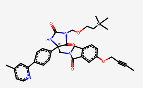 CC#CCOc1ccc2c(c1)C(=O)N(C[C@@]1(c3ccc(-c4cc(C)ccn4)cc3)NC(=O)N(COCC[Si](C)(C)C)C1=O)C2